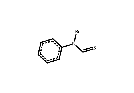 S=[C]N(Br)c1ccccc1